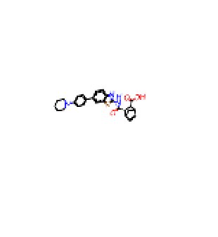 O=C(Nc1nc2ccc(-c3ccc(N4CCCCC4)cc3)cc2s1)[C@@H]1C2C=CC(C2)[C@@H]1C(=O)O